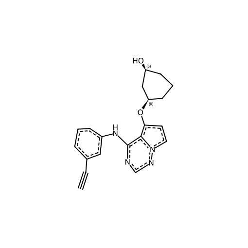 C#Cc1cccc(Nc2ncnn3ccc(O[C@@H]4CCC[C@H](O)C4)c23)c1